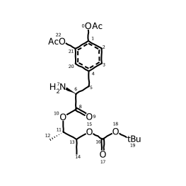 CC(=O)Oc1ccc(C[C@H](N)C(=O)O[C@@H](C)C(C)OC(=O)OC(C)(C)C)cc1OC(C)=O